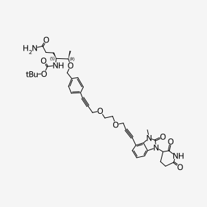 C[C@@H](OCc1ccc(C#CCOCCOCC#Cc2cccc3c2n(C)c(=O)n3C2CCC(=O)NC2=O)cc1)[C@H](CCC(N)=O)NC(=O)OC(C)(C)C